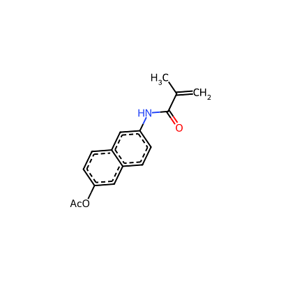 C=C(C)C(=O)Nc1ccc2cc(OC(C)=O)ccc2c1